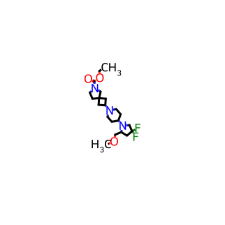 CCOC(=O)N1CCC2(CC(N3CCC(N4CC(F)(F)CC4COC)CC3)C2)C1